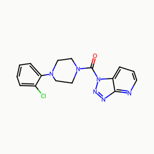 O=C(N1CCN(c2ccccc2Cl)CC1)n1nnc2ncccc21